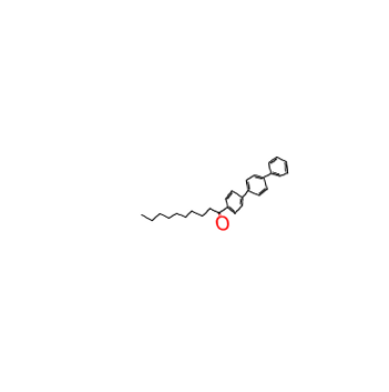 CCCCCCCCCC(=O)c1ccc(-c2ccc(-c3ccccc3)cc2)cc1